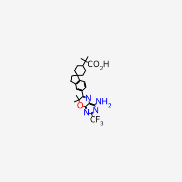 CC1(C)Oc2nc(C(F)(F)F)nc(N)c2N=C1c1ccc2c(c1)CCC21CCC(C(C)(C)C(=O)O)CC1